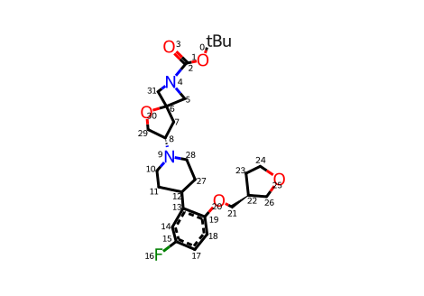 CC(C)(C)OC(=O)N1CC2(C[C@H](N3CCC(c4cc(F)ccc4OC[C@H]4CCOC4)CC3)CO2)C1